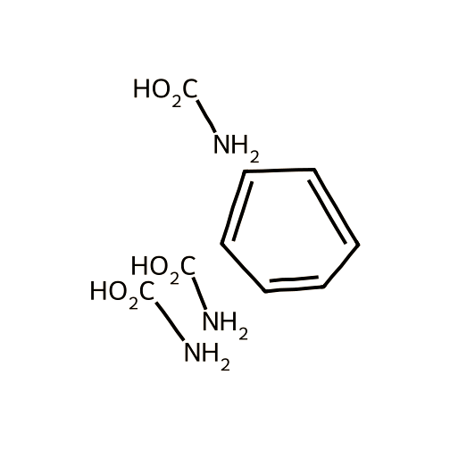 NC(=O)O.NC(=O)O.NC(=O)O.c1ccccc1